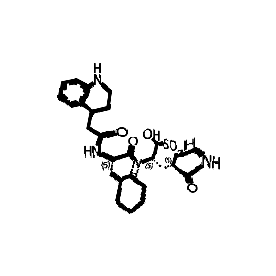 O=C(CC1CCNc2ccccc21)N[C@@H](CC1CCCCC1)C(=O)N[C@@H](C[C@@H]1CCNC1=O)C(O)S(=O)(=O)O